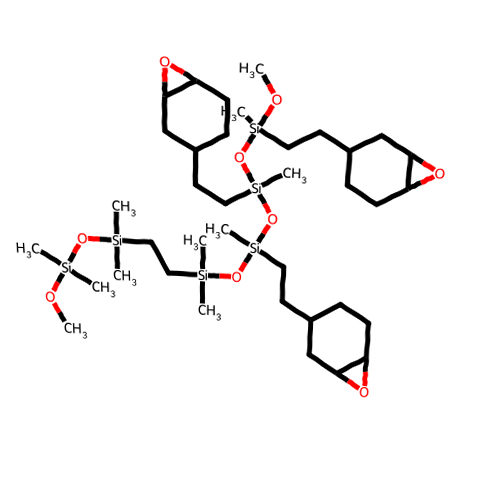 CO[Si](C)(C)O[Si](C)(C)CC[Si](C)(C)O[Si](C)(CCC1CCC2OC2C1)O[Si](C)(CCC1CCC2OC2C1)O[Si](C)(CCC1CCC2OC2C1)OC